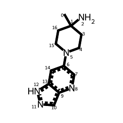 CC1(N)CCN(c2cnc3cn[nH]c3c2)CC1